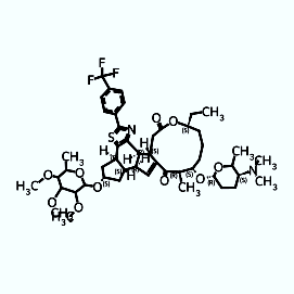 CC[C@H]1CCC[C@H](O[C@H]2CC[C@H](N(C)C)C(C)O2)[C@@H](C)C(=O)C2=C[C@H]3[C@@H]4C[C@H](OC5OC(C)C(OC)C(OC)C5OC)C[C@H]4c4sc(-c5ccc(C(F)(F)F)cc5)nc4[C@H]3[C@@H]2CC(=O)O1